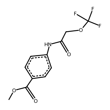 COC(=O)c1ccc(NC(=O)COC(F)(F)F)cc1